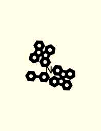 c1ccc(-c2cccc(N(c3ccc4c(c3)-c3ccccc3C43c4ccccc4-c4ccccc43)c3ccc4c(c3)C3(c5ccccc5-c5ccccc53)c3ccccc3-4)c2)cc1